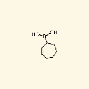 OB(O)C1C=CCCCC1